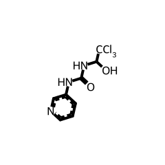 O=C(Nc1cccnc1)NC(O)C(Cl)(Cl)Cl